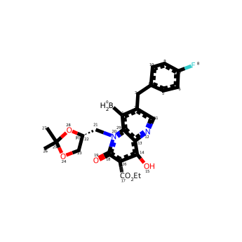 Bc1c(Cc2ccc(F)cc2)cnc2c(O)c(C(=O)OCC)c(=O)n(C[C@@H]3COC(C)(C)O3)c12